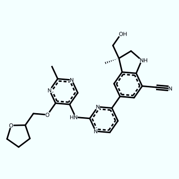 Cc1ncc(Nc2nccc(-c3cc(C#N)c4c(c3)[C@@](C)(CO)CN4)n2)c(OCC2CCCO2)n1